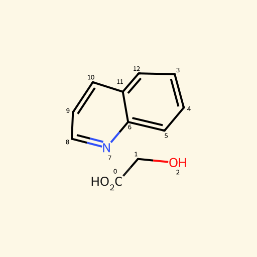 O=C(O)CO.c1ccc2ncccc2c1